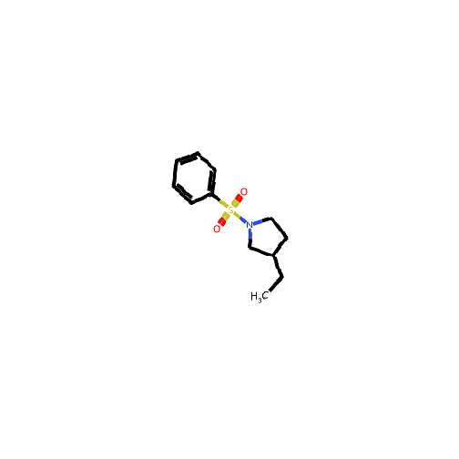 CCC1CCN(S(=O)(=O)c2ccccc2)C1